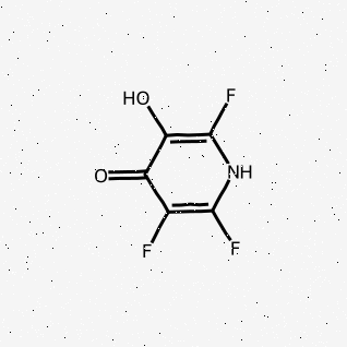 O=c1c(O)c(F)[nH]c(F)c1F